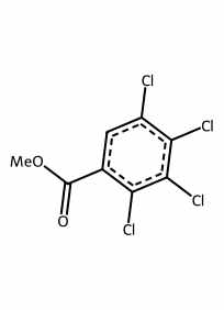 COC(=O)c1cc(Cl)c(Cl)c(Cl)c1Cl